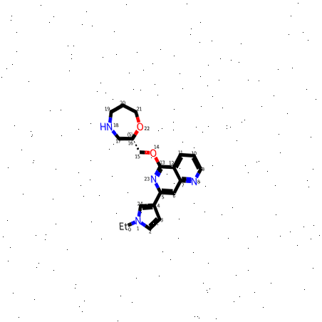 CCn1ccc(-c2cc3ncccc3c(OC[C@@H]3CNCCCO3)n2)c1